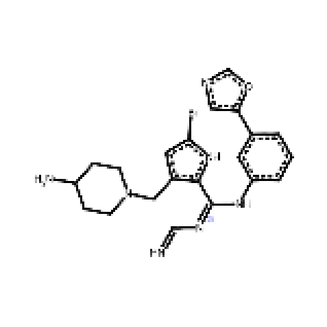 N=C/N=C(/Nc1cccc(-c2cnco2)c1)c1[nH]c(Br)cc1CN1CCC(N)CC1